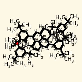 CC(C)(C)c1cc2c(c(C(C)(C)C)c1)B(c1c(C(C)(C)C)cc(C(C)(C)C)cc1C(C)(C)C)c1ccc3cc4c5c(ccc6cc-2c1c3c65)B(c1c(C(C)(C)C)cc(C(C)(C)C)cc1C(C)(C)C)c1c-4cc(C(C)(C)C)cc1C(C)(C)C